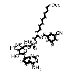 CCCCCCCCCCCCCCCCCCC[C@@H](COP(=O)(O)OC[C@@]1(C#N)O[C@@H](c2ccc3c(N)ncnn23)[C@H](O)[C@@H]1O)OCc1cc(F)cc(C#N)c1